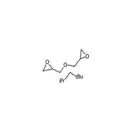 C(OCC1CO1)C1CO1.CC(C)CC(C)(C)C